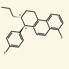 CCC[C@@H]1CCc2c(ccc3c(F)cccc23)[C@H]1c1ccc(F)cc1